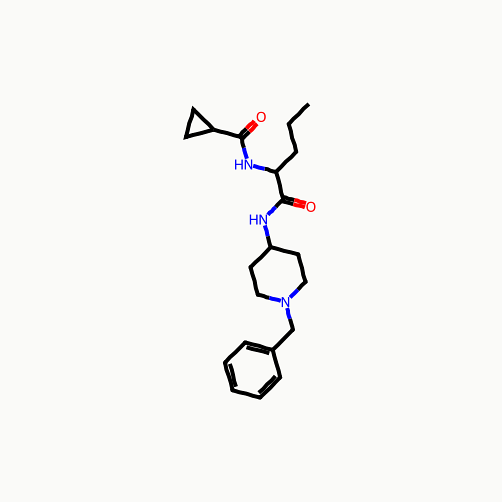 CCCC(NC(=O)C1CC1)C(=O)NC1CCN(Cc2ccccc2)CC1